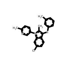 Cc1cccc(Sc2c(C)n(-c3ccc(C)nc3)c3cc(Cl)ccc23)c1